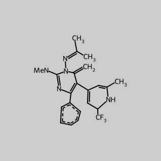 C=C1C(C2=CC(C(F)(F)F)NC(C)=C2)=C(c2ccccc2)N=C(NC)N1N=C(C)C